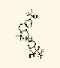 CCS(=O)(=O)c1ccc2c(c1)CCN(C(C)=O)C2CNc1ccc(C(F)(C(F)(F)F)C(F)(F)F)cc1